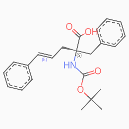 CC(C)(C)OC(=O)N[C@@](C/C=C/c1ccccc1)(Cc1ccccc1)C(=O)O